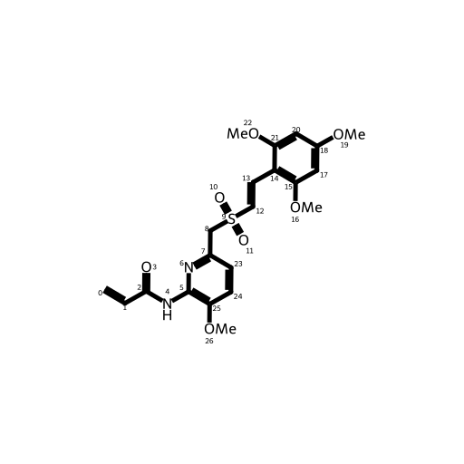 C=CC(=O)Nc1nc(CS(=O)(=O)/C=C/c2c(OC)cc(OC)cc2OC)ccc1OC